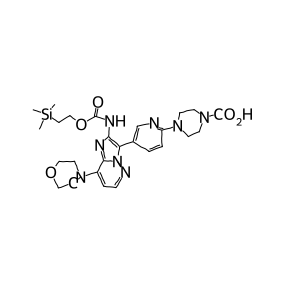 C[Si](C)(C)CCOC(=O)Nc1nc2c(N3CCOCC3)ccnn2c1-c1ccc(N2CCN(C(=O)O)CC2)nc1